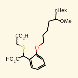 CCCCCCC(CCCCOc1ccccc1C(SCC(=O)O)C(=O)O)OC